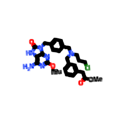 CCCCOc1nc(N)c2[nH]c(=O)n(Cc3ccc(CN(CCCCl)Cc4cccc(CC(=O)OC)c4)cc3)c2n1